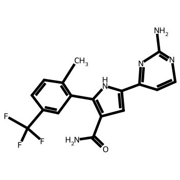 Cc1ccc(C(F)(F)F)cc1-c1[nH]c(-c2ccnc(N)n2)cc1C(N)=O